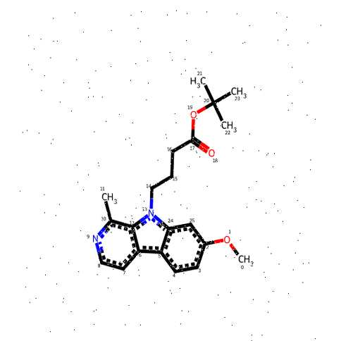 COc1ccc2c3ccnc(C)c3n(CCCC(=O)OC(C)(C)C)c2c1